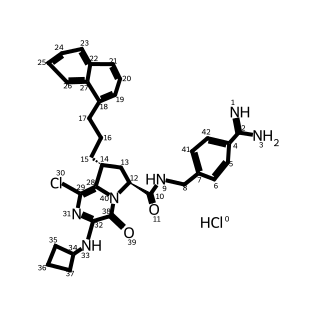 Cl.N=C(N)c1ccc(CNC(=O)[C@@H]2C[C@@H](CCCc3cccc4ccccc34)c3c(Cl)nc(NC4CCC4)c(=O)n32)cc1